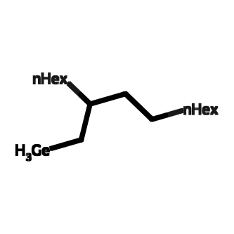 CCCCCCCCC([CH2][GeH3])CCCCCC